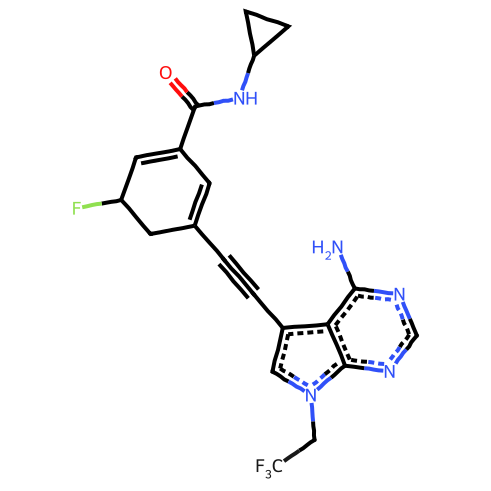 Nc1ncnc2c1c(C#CC1=CC(C(=O)NC3CC3)=CC(F)C1)cn2CC(F)(F)F